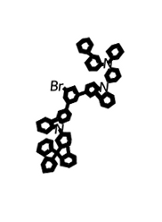 Brc1cc(-c2ccc3c(c2)c2ccccc2n3-c2cccc(N(c3ccccc3)c3cccc(-c4ccccc4)c3)c2)cc(-c2ccc3c(c2)c2ccccc2n3-c2ccc3c(c2)C(c2ccccc2)(c2ccccc2)c2ccccc2-3)c1